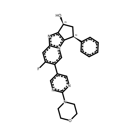 O[C@H]1C[C@@H](c2ccccc2)c2c1nc1cc(F)c(-c3cnc(N4CCOCC4)nc3)cn21